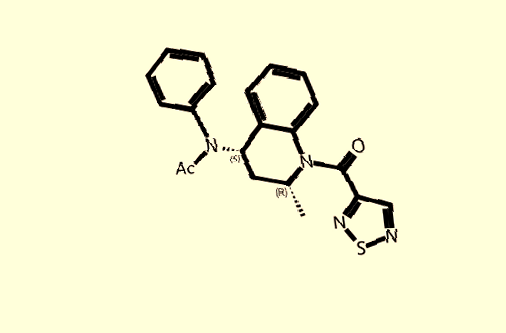 CC(=O)N(c1ccccc1)[C@H]1C[C@@H](C)N(C(=O)c2cnsn2)c2ccccc21